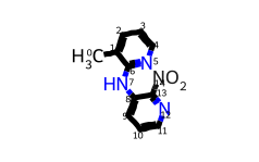 Cc1cccnc1Nc1cccnc1[N+](=O)[O-]